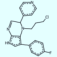 Fc1ccc(-c2c[nH]c3c2N(CCCCl)C(c2ccncc2)C=N3)cc1